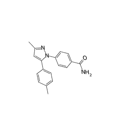 Cc1ccc(-c2cc(C)nn2-c2ccc(C(N)=O)cc2)cc1